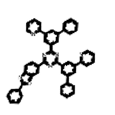 c1ccc(-c2cc(-c3ccccn3)cc(-c3nc(-c4cc(-c5ccccc5)cc(-c5ccccn5)c4)nc(-c4ccc5nc(-c6ccccc6)oc5c4)n3)c2)cc1